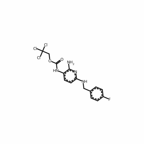 Nc1nc(NCc2ccc(F)cc2)ccc1NC(=O)OCC(Cl)(Cl)Cl